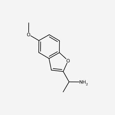 COc1ccc2oc(C(C)N)cc2c1